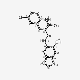 O=c1[nH]c2ccc(Cl)cc2cc1CNc1cc2ocnc2cc1O